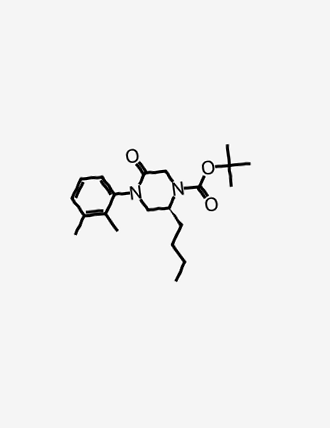 CCCC[C@H]1CN(c2cccc(C)c2C)C(=O)CN1C(=O)OC(C)(C)C